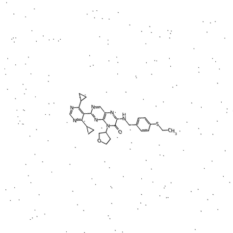 CCSc1ccc(CNc2nc3cnc(-c4c(C5CC5)ncnc4C4CC4)nc3n(C3CCOC3)c2=O)cc1